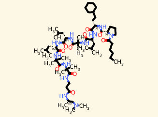 CCCCCC(=O)N1CCC[C@H]1C(=O)N[C@@H](CCC1CCCCC1)C(=O)N[C@@H](CC(C)C)C(=O)NC(C)(C)C(=O)N[C@@H](CC(C)C)C(=O)N[C@@H](CC(C)C)C(=O)NC(C)(C)C(=O)NC(C)(C)C(=O)NCCC(=O)N[C@@H](C)CN(C)C